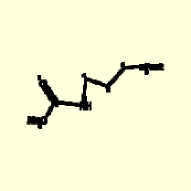 [CH2]OC(=O)NCCCCCCCC